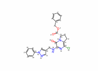 O=C(OCc1ccccc1)[C@@H]1CCc2c(Cl)nc(NCc3cnn(-c4ccccc4)c3)c(=O)n21